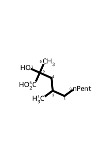 CCCCCCC(C)CC(C)(O)C(=O)O